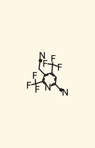 N#CCc1c(C(F)(F)F)cc(C#N)nc1C(F)(F)F